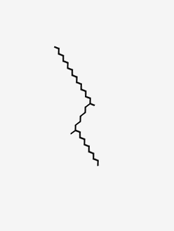 CCCCCCCCCCCCCCCCC(C)CCCCCC(C)CCCCCCCCCC